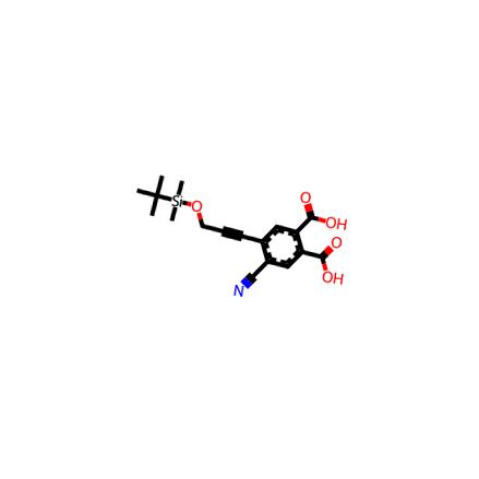 CC(C)(C)[Si](C)(C)OCC#Cc1cc(C(=O)O)c(C(=O)O)cc1C#N